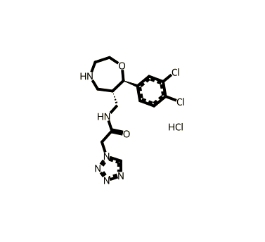 Cl.O=C(Cn1cnnn1)NC[C@@H]1CNCCO[C@H]1c1ccc(Cl)c(Cl)c1